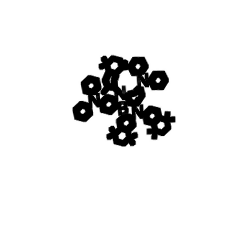 Cc1cc2c3cc1N1c4cc(N(c5ccccc5)c5ccccc5)ccc4B4c5cc6c(cc5N(c5ccc7c(c5)C(C)(C)CCC7(C)C)c5cc(cc1c54)N(c1ccccc1)c1cccc(c1)C3(C)CCC2(C)C)C(C)(C)CCC6(C)C